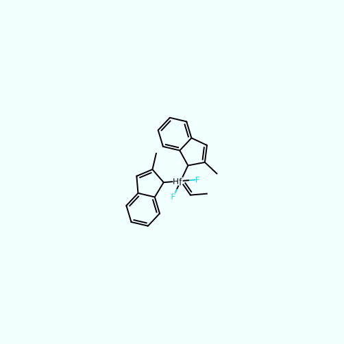 C[CH]=[Hf]([F])([F])([CH]1C(C)=Cc2ccccc21)[CH]1C(C)=Cc2ccccc21